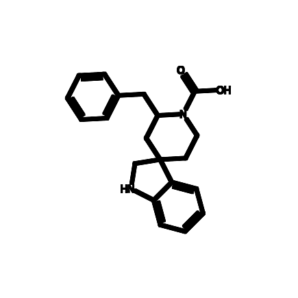 O=C(O)N1CCC2(CNc3ccccc32)CC1Cc1ccccc1